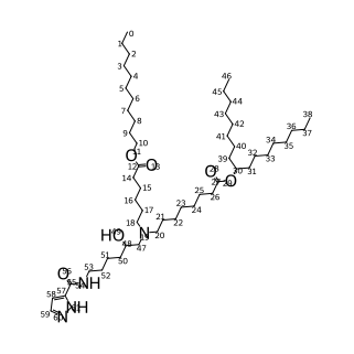 CCCCCCCCCCCOC(=O)CCCCCN(CCCCCCCC(=O)OC(CCCCCCCC)CCCCCCCC)CC(O)CCCCNC(=O)c1ccn[nH]1